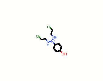 Oc1ccc([N+](NCCCl)NCCCl)cc1